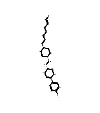 FC=CCCCCC[C@H]1CC[C@H](CC[C@H]2CC[C@H](c3ccc(F)cc3)CC2)CC1